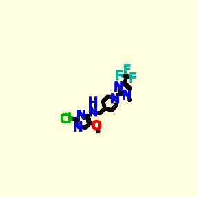 COc1cnc(Cl)nc1NCC1CCN(c2nc(C(F)(F)F)cn2C)CC1